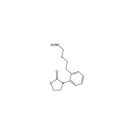 CC(=O)NCSCCc1ccccc1N1CCOC1=O